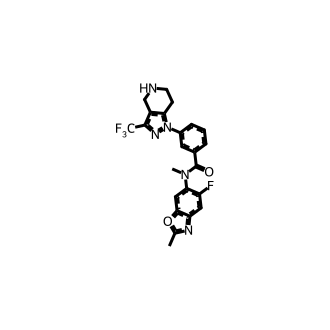 Cc1nc2cc(F)c(N(C)C(=O)c3cccc(-n4nc(C(F)(F)F)c5c4CCNC5)c3)cc2o1